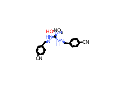 N#Cc1ccc(C=NNC(=N)NN=Cc2ccc(C#N)cc2)cc1.O=[N+]([O-])O